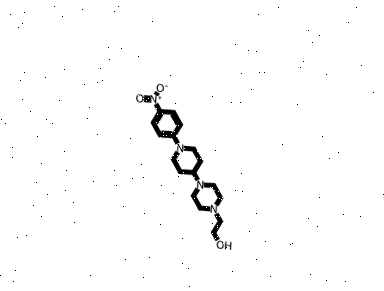 O=[N+]([O-])c1ccc(N2CCC(N3CCN(CCO)CC3)CC2)cc1